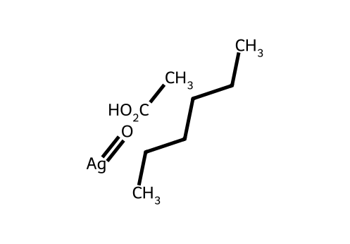 CC(=O)O.CCCCCC.[O]=[Ag]